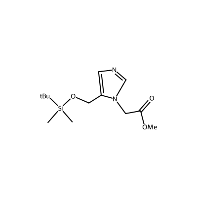 COC(=O)Cn1cncc1CO[Si](C)(C)C(C)(C)C